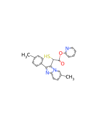 Cc1ccc(-c2nc3ccc(C)cn3c2C(S)C(=O)Oc2ccccn2)cc1